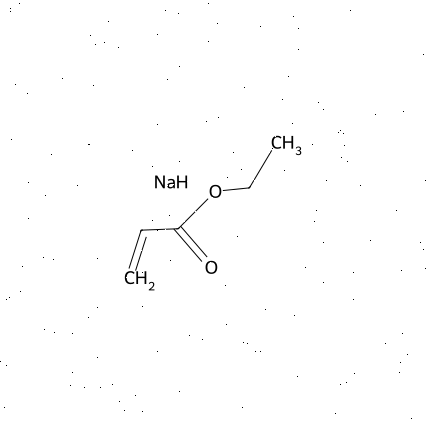 C=CC(=O)OCC.[NaH]